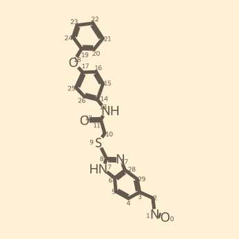 O=NCc1ccc2[nH]c(SCC(=O)Nc3ccc(Oc4ccccc4)cc3)nc2c1